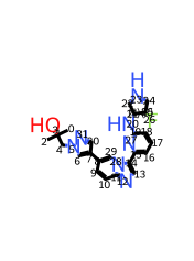 CC(C)(O)Cn1cc(-c2ccc3ncc(-c4cccc(N[C@H]5CNC[C@H]5F)n4)n3c2)cn1